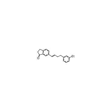 CCc1cccc(CC/C=C/c2ccc3c(c2)C(=O)CC3)c1